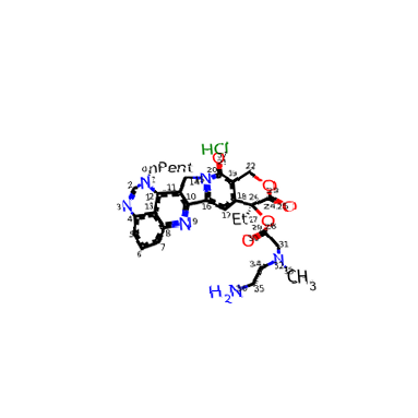 CCCCCN1C=Nc2cccc3nc4c(c1c23)Cn1c-4cc2c(c1=O)COC(=O)[C@@]2(CC)OC(=O)CN(C)CCN.Cl